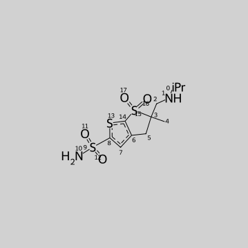 CC(C)NCC1(C)Cc2cc(S(N)(=O)=O)sc2S1(=O)=O